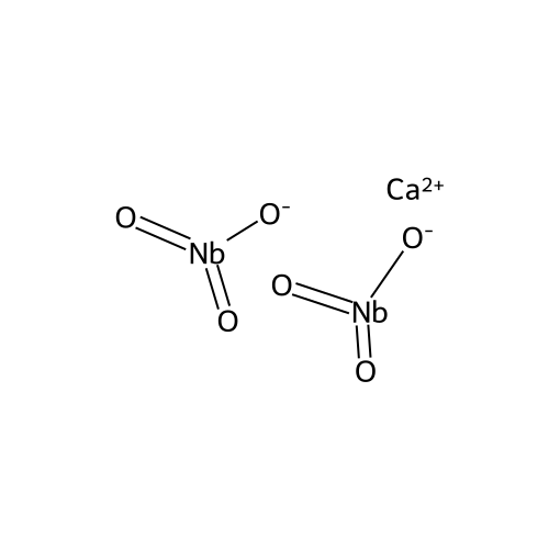 [Ca+2].[O]=[Nb](=[O])[O-].[O]=[Nb](=[O])[O-]